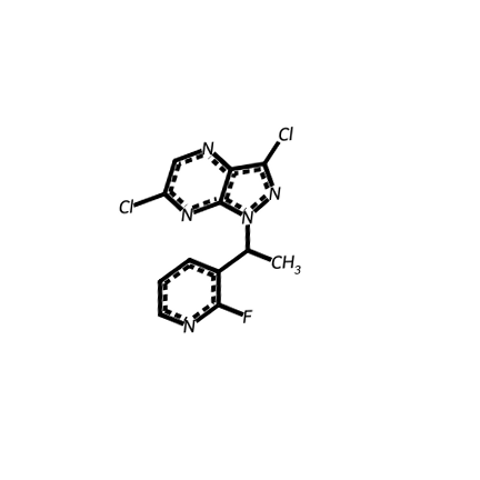 CC(c1cccnc1F)n1nc(Cl)c2ncc(Cl)nc21